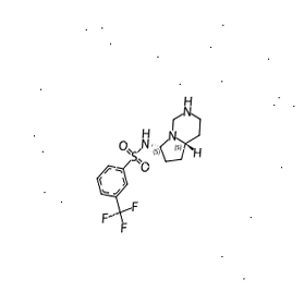 O=S(=O)(N[C@H]1CC[C@H]2CCNCN21)c1cccc(C(F)(F)F)c1